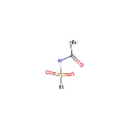 CCCCC(=O)[N]S(=O)(=O)CC